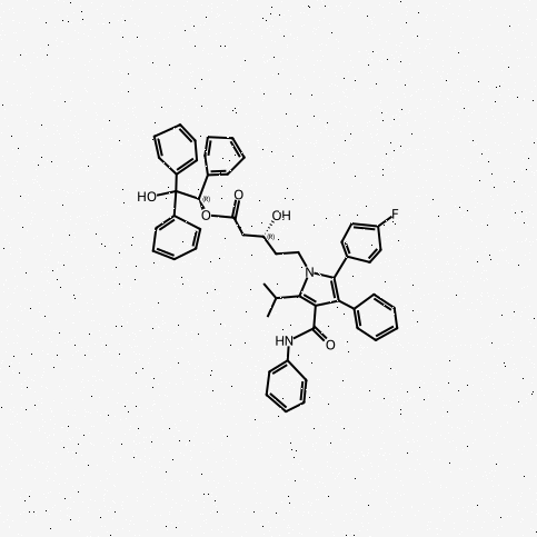 CC(C)c1c(C(=O)Nc2ccccc2)c(-c2ccccc2)c(-c2ccc(F)cc2)n1CC[C@@H](O)CC(=O)O[C@H](c1ccccc1)C(O)(c1ccccc1)c1ccccc1